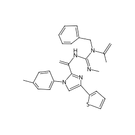 C=C(N/C(=N/C)N(Cc1ccccc1)C(=C)C)c1nc(-c2cccs2)cn1-c1ccc(C)cc1